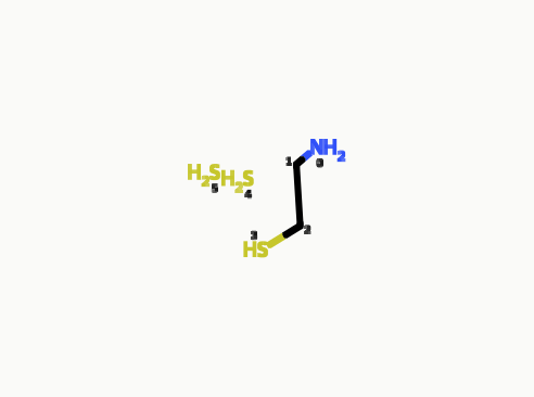 NCCS.S.S